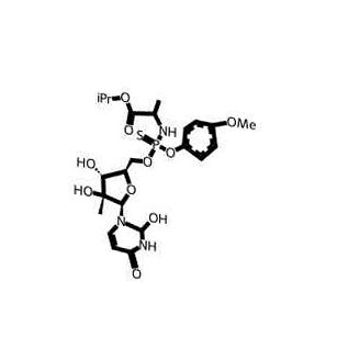 COc1ccc(OP(=S)(NC(C)C(=O)OC(C)C)OC[C@H]2O[C@@H](N3C=CC(=O)NC3O)[C@](C)(O)[C@@H]2O)cc1